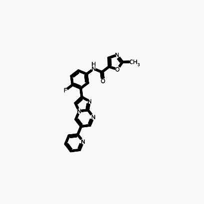 Cc1ncc(C(=O)Nc2ccc(F)c(-c3cn4cc(-c5ccccn5)cnc4n3)c2)o1